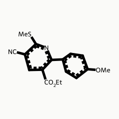 CCOC(=O)c1cc(C#N)c(SC)nc1-c1ccc(OC)cc1